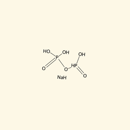 O=[PH](O)OP(=O)(O)O.[NaH]